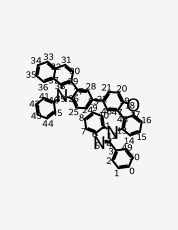 c1ccc(-c2nc3ccccc3n2-c2cccc3oc4ccc(-c5ccc6c(c5)c5ccc7ccccc7c5n6-c5ccccc5)cc4c23)cc1